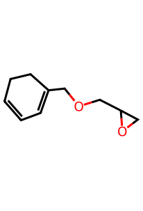 C1=CCCC(COCC2CO2)=C1